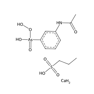 CC(=O)Nc1cccc([As](=O)(O)OO)c1.CCCS(=O)(=O)O.[CaH2]